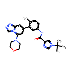 Cc1ccc(NC(=O)c2cn(C(C)(C)C)cn2)cc1-c1cc(N2CCOCC2)n2cnnc2c1